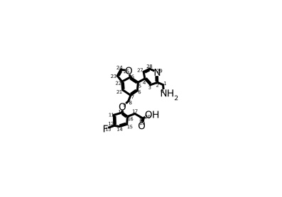 NCc1cc(-c2cc(COc3cc(F)ccc3CC(=O)O)cc3ccoc23)ccn1